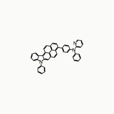 c1ccc(N(c2ccc(-c3ccc4ccc5c6c(ccc3c46)cc3c5c4ccccc4n3-c3ccccc3)cc2)c2ccccn2)cc1